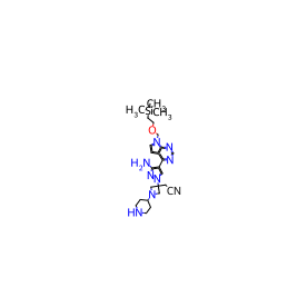 C[Si](C)(C)CCOCn1ccc2c(-c3cn(C4(CC#N)CN(C5CCNCC5)C4)nc3N)ncnc21